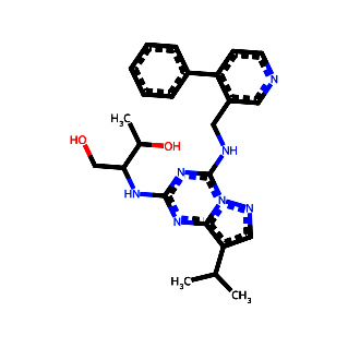 CC(C)c1cnn2c(NCc3cnccc3-c3ccccc3)nc(NC(CO)C(C)O)nc12